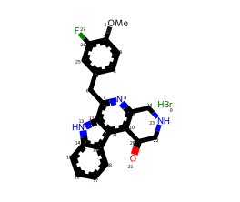 Br.COc1ccc(Cc2nc3c(c4c2[nH]c2ccccc24)C(=O)CNC3)cc1F